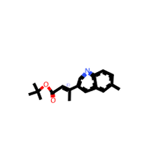 C/C(=C\C(=O)OC(C)(C)C)c1cnc2ccc(C)cc2c1